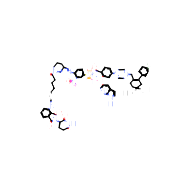 CC1(C)CCC(CN2CCN(c3ccc(C(=O)NS(=O)(=O)c4ccc(NCC5CCCN(C(=O)CCCCCCNc6cccc7c6C(=O)N(C6CCC(=O)NC6=O)C7=O)C5)c([N+](=O)[O-])c4)c(Oc4cnc5[nH]ccc5c4)c3)CC2)=C(c2ccc(Cl)cc2)C1